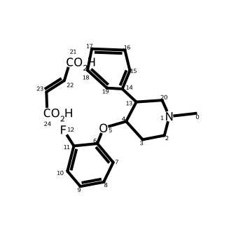 CN1CCC(Oc2ccccc2F)C(c2ccccc2)C1.O=C(O)C=CC(=O)O